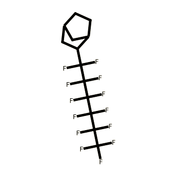 FC(F)(F)C(F)(F)C(F)(F)C(F)(F)C(F)(F)C(F)(F)C1CC2CCC1C2